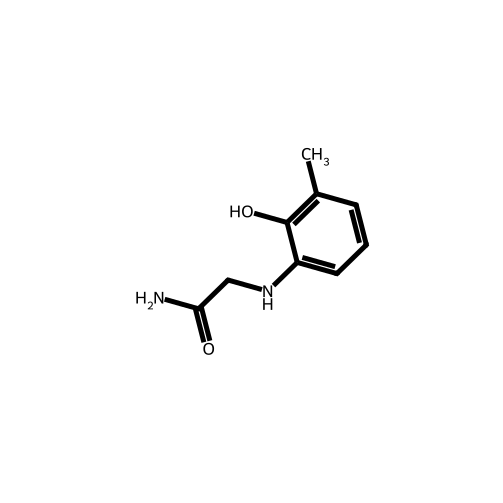 Cc1cccc(NCC(N)=O)c1O